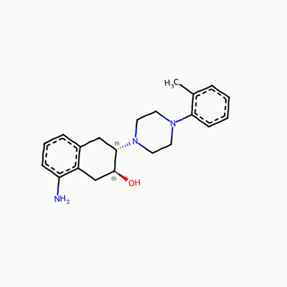 Cc1ccccc1N1CCN([C@H]2Cc3cccc(N)c3C[C@@H]2O)CC1